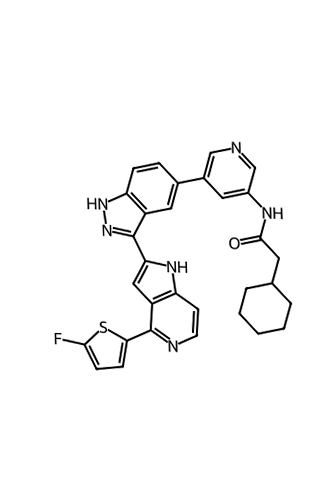 O=C(CC1CCCCC1)Nc1cncc(-c2ccc3[nH]nc(-c4cc5c(-c6ccc(F)s6)nccc5[nH]4)c3c2)c1